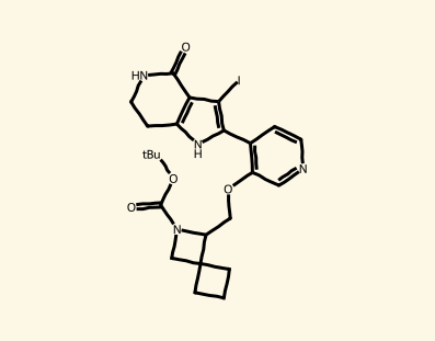 CC(C)(C)OC(=O)N1CC2(CCC2)C1COc1cnccc1-c1[nH]c2c(c1I)C(=O)NCC2